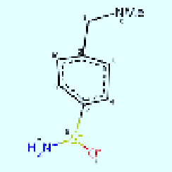 CNCc1ccc([S+](N)[O-])cc1